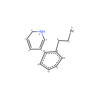 C1=CCNC=C1.CC(=O)CCc1ccccc1